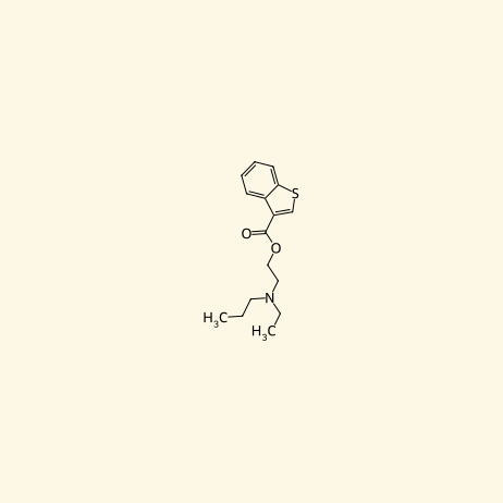 CCCN(CC)CCOC(=O)c1csc2ccccc12